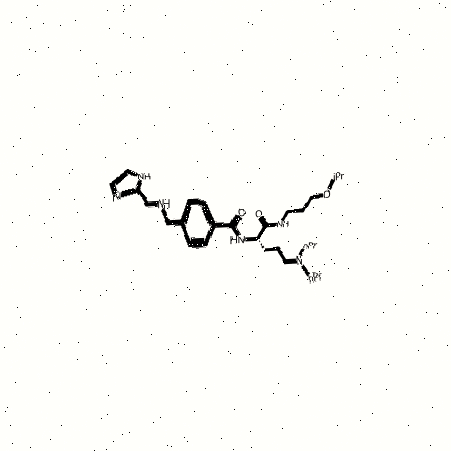 CCCN(CCC)CCC[C@H](NC(=O)c1ccc(CNCc2ncc[nH]2)cc1)C(=O)NCCCOC(C)C